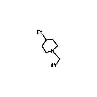 CCC1CCN(CC(C)C)CC1